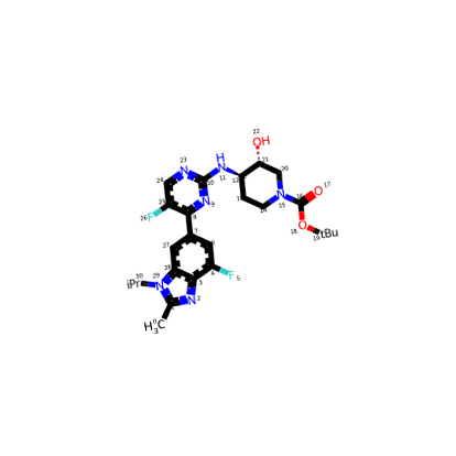 Cc1nc2c(F)cc(-c3nc(N[C@@H]4CCN(C(=O)OC(C)(C)C)C[C@H]4O)ncc3F)cc2n1C(C)C